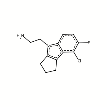 NCCn1c2c(c3c(Cl)c(F)ccc31)CCC2